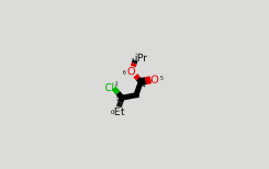 CCC(Cl)CC(=O)OC(C)C